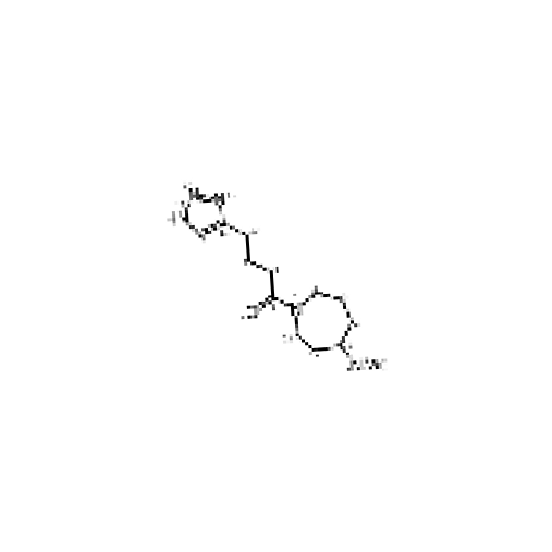 CNC1CCCN(C(=O)CCCc2c[nH]nn2)CC1